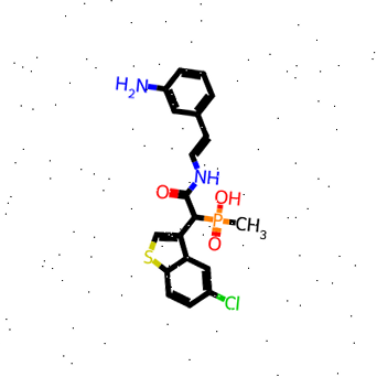 CP(=O)(O)C(C(=O)N/C=C/c1cccc(N)c1)C1=CSC2C=CC(Cl)=CC12